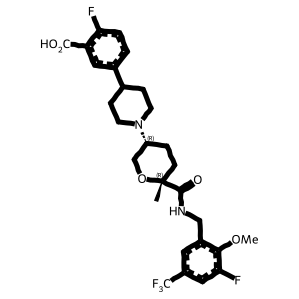 COc1c(F)cc(C(F)(F)F)cc1CNC(=O)[C@@]1(C)CC[C@@H](N2CCC(c3ccc(F)c(C(=O)O)c3)CC2)CO1